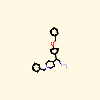 NCC(c1ccc(OCc2ccccc2)cc1)C1CCN(Cc2ccccc2)CC1